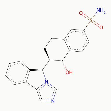 NS(=O)(=O)c1ccc2c(c1)CC[C@H]([C@@H]1c3ccccc3-c3cncn31)[C@H]2O